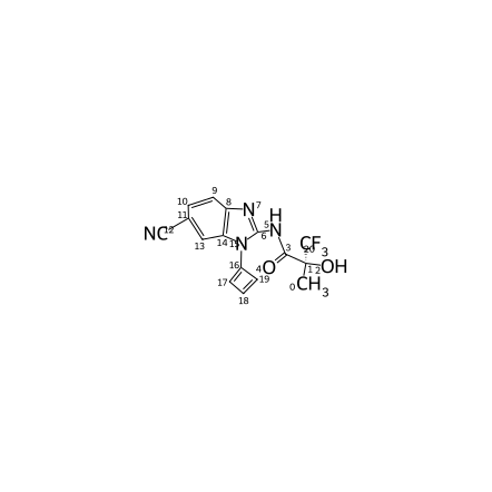 C[C@](O)(C(=O)Nc1nc2ccc(C#N)cc2n1C1=CC=C1)C(F)(F)F